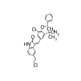 CC(C)(C)c1cc(C=C2C(=O)Nc3ccc(CCCl)cc32)cc(Cl)c1OCc1ccccc1